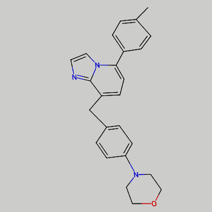 Cc1ccc(-c2ccc(Cc3ccc(N4CCOCC4)cc3)c3nccn23)cc1